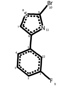 Fc1cccc(-c2csc(Br)n2)c1